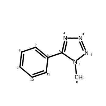 [CH]n1nnnc1-c1ccccc1